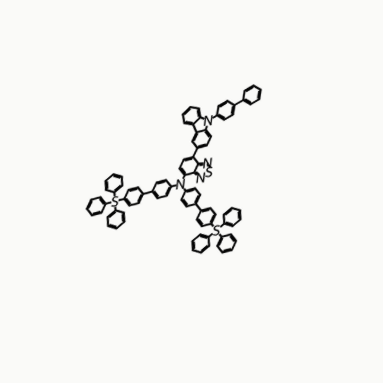 c1ccc(-c2ccc(-n3c4ccccc4c4cc(-c5ccc(N(c6ccc(-c7ccc(S(c8ccccc8)(c8ccccc8)c8ccccc8)cc7)cc6)c6ccc(-c7ccc(S(c8ccccc8)(c8ccccc8)c8ccccc8)cc7)cc6)c6nsnc56)ccc43)cc2)cc1